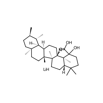 C[C@@H]1[C@H]2[C@H]3CC[C@@H]4[C@]5(C)[C@@H](CC[C@@]4(C)[C@]3(C)CC[C@@]2(C)CC[C@H]1C)C(C)(C)CCC5(O)C(=O)O.[LiH]